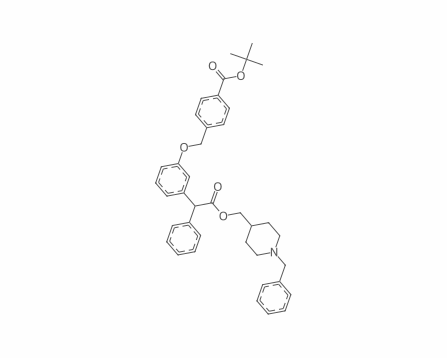 CC(C)(C)OC(=O)c1ccc(COc2cccc(C(C(=O)OCC3CCN(Cc4ccccc4)CC3)c3ccccc3)c2)cc1